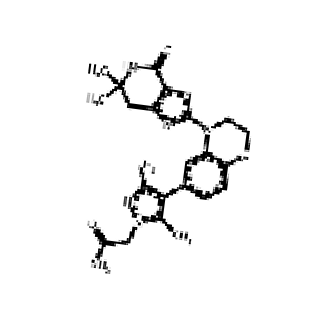 Cc1nn(CC(N)=O)c(C)c1-c1ccc2c(c1)N(c1nc3c(s1)C(=O)NC(C)(C)C3)CCO2